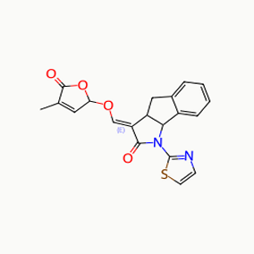 CC1=CC(O/C=C2/C(=O)N(c3nccs3)C3c4ccccc4CC23)OC1=O